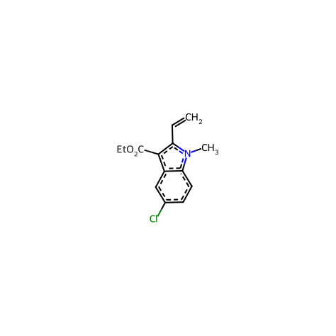 C=Cc1c(C(=O)OCC)c2cc(Cl)ccc2n1C